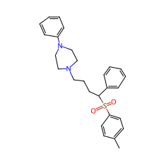 Cc1ccc(S(=O)(=O)C(CCCN2CCN(c3ccccc3)CC2)c2ccccc2)cc1